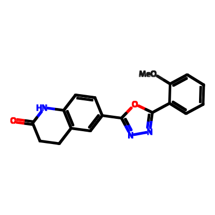 COc1ccccc1-c1nnc(-c2ccc3c(c2)CCC(=O)N3)o1